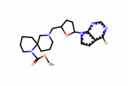 CC(C)(C)OC(=O)N1CCCCC12CCCN(CC1CCC(n3ccc4c(Cl)ncnc43)O1)C2